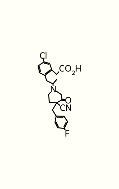 CC(Cc1ccc(Cl)cc1CC(=O)O)N1CCC(C#N)(Cc2ccc(F)cc2)C(=O)C1